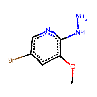 COc1cc(Br)cnc1NN